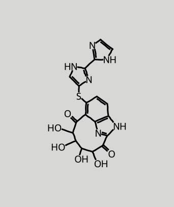 O=C1c2nc3c(c(Sc4c[nH]c(-c5ncc[nH]5)n4)ccc3[nH]2)C(=O)C(O)C(O)C(O)C1O